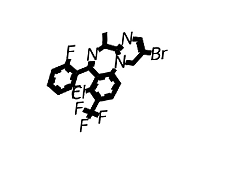 CC1N=C(c2c(F)cccc2F)c2c(ccc(C(F)(F)F)c2Cl)N2CC(Br)=CN=C12